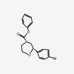 O=C(Oc1ccccc1)N1CCO[C@H](c2ccc(Br)cc2)C1